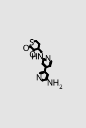 Nc1cncc(-c2ccnc(NCC3CCSC(=O)C3=O)c2)c1